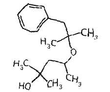 CC(CC(C)(C)O)OC(C)(C)Cc1ccccc1